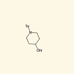 [3H]N1CCC(O)CC1